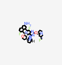 C#Cc1c(F)ccc2cc(N)cc(-c3ncc4c(N5C[C@@H]6CC[C@](C7CCOCC7)(C5)N6)nc(OC[C@@]56CCCN5C/C(=C/F)C6)nc4c3F)c12